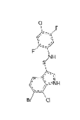 Fc1cc(NSc2c[nH]c3c(Cl)c(Br)ccc23)c(F)cc1Cl